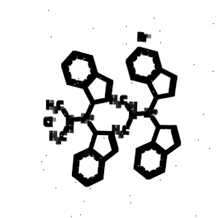 C[SiH](C)[Zr+]([CH]1C=Cc2ccccc21)[CH]1C=Cc2ccccc21.C[SiH](C)[Zr+]([CH]1C=Cc2ccccc21)[CH]1C=Cc2ccccc21.[Br-].[Cl-]